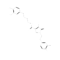 O=C(NCCCCc1ccc(Cl)c(Cl)c1)C1=C(O)C(=O)N(CCc2ccc(F)c(F)c2)C1